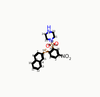 O=[N+]([O-])c1ccc(Sc2ccc3ccccc3c2)c(S(=O)(=O)N2CCNCC2)c1